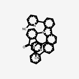 N#Cc1cccc(-c2cccc3c4cccc(-c5cccc(C#N)n5)c4n(-c4cccc5c4C(=O)N(c4ccccc4-c4ccccc4)C5=O)c23)n1